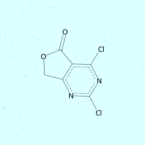 O=C1OCc2nc(Cl)nc(Cl)c21